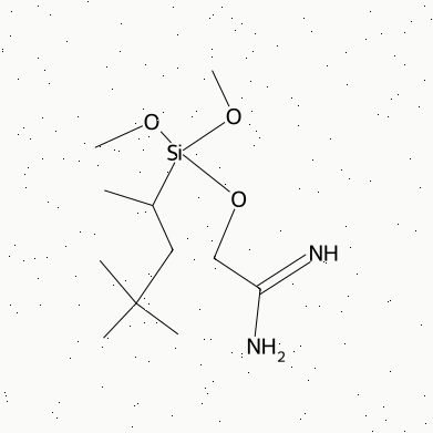 CO[Si](OC)(OCC(=N)N)C(C)CC(C)(C)C